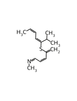 C=C(/C=C\C=N/C)S/C(=C/C=C\C)C(C)C